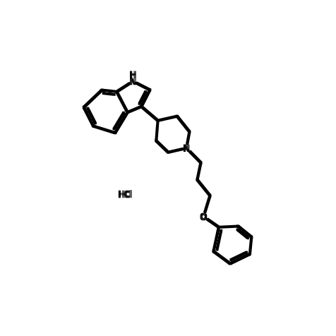 Cl.c1ccc(OCCCN2CCC(c3c[nH]c4ccccc34)CC2)cc1